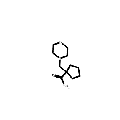 NC(=O)C1(CN2CCOCC2)CCCC1